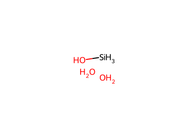 O.O.O[SiH3]